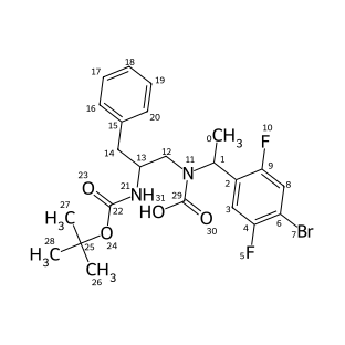 CC(c1cc(F)c(Br)cc1F)N(CC(Cc1ccccc1)NC(=O)OC(C)(C)C)C(=O)O